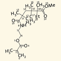 C=C(C)C(=O)OCCNC(=O)C(C)(C)CC(C)(C)C(C)(CC)C(=O)OC